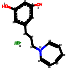 Br.Oc1cc(O)cc(CCCN2C=CC=CC=C2)c1